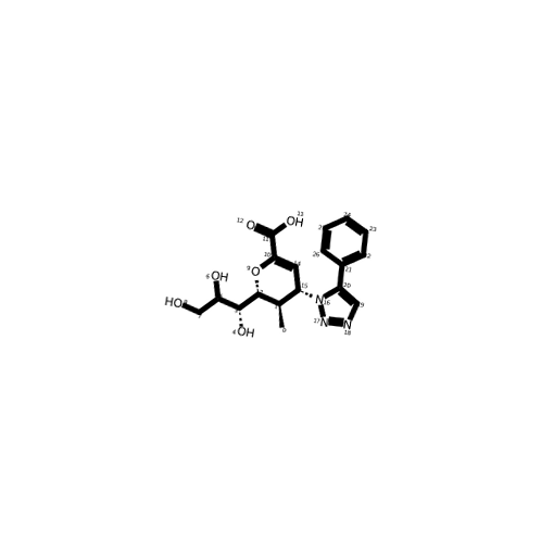 C[C@H]1[C@H]([C@H](O)C(O)CO)OC(C(=O)O)=C[C@@H]1n1nncc1-c1ccccc1